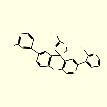 NC1=N[C@@]2(CO1)c1cc(-c3ccnc(O)c3)ccc1Oc1cnc(-c3cccnc3O)cc12